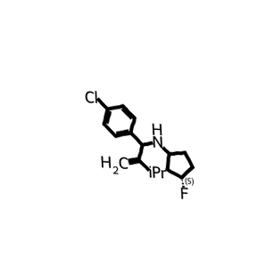 C=C(C(C)C)C(NC1CC[C@H](F)C1)c1ccc(Cl)cc1